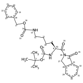 CC(C)(C)OC(=O)N[C@@H](CCCCNC(=O)OCc1ccccc1)C(=O)N1Cc2ccccc2C1=O